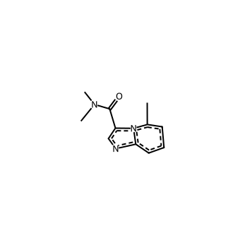 Cc1cccc2ncc(C(=O)N(C)C)n12